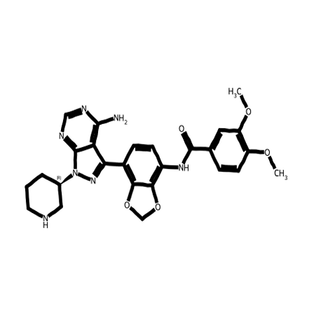 COc1ccc(C(=O)Nc2ccc(-c3nn([C@@H]4CCCNC4)c4ncnc(N)c34)c3c2OCO3)cc1OC